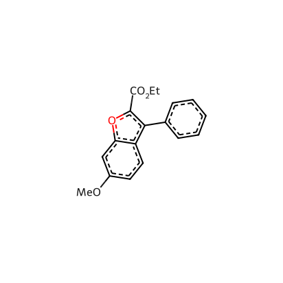 CCOC(=O)c1oc2cc(OC)ccc2c1-c1ccccc1